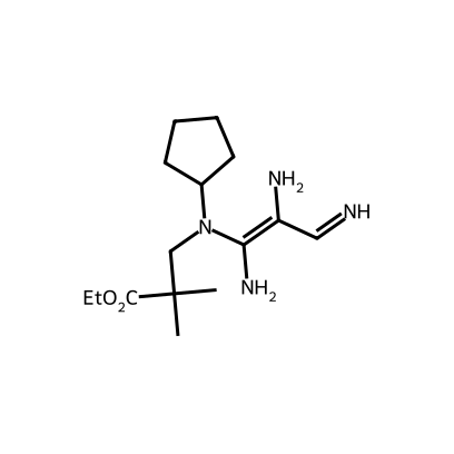 CCOC(=O)C(C)(C)CN(/C(N)=C(\N)C=N)C1CCCC1